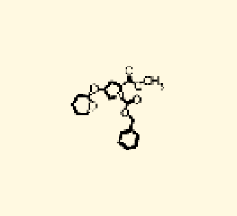 COC(=O)[C@@H]1C[C@@H](OC2CCCCO2)CN1C(=O)OCc1ccccc1